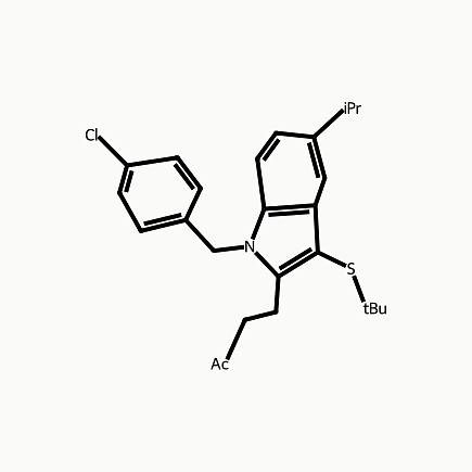 CC(=O)CCc1c(SC(C)(C)C)c2cc(C(C)C)ccc2n1Cc1ccc(Cl)cc1